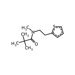 CN(CCc1cccs1)C(=O)C(C)(C)C